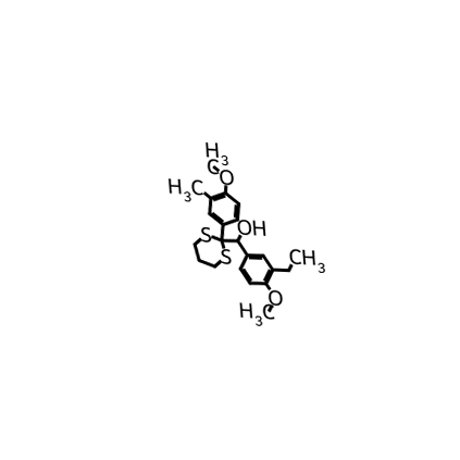 CCc1cc(C(O)C2(c3ccc(OC)c(C)c3)SCCCS2)ccc1OC